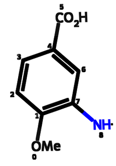 COc1ccc(C(=O)O)cc1[NH]